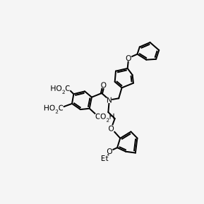 CCOc1ccccc1OCCN(Cc1ccc(Oc2ccccc2)cc1)C(=O)c1cc(C(=O)O)c(C(=O)O)cc1C(=O)O